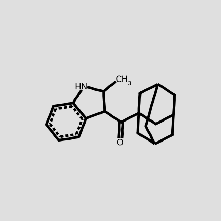 CC1Nc2ccccc2C1C(=O)C12CC3CC(CC(C3)C1)C2